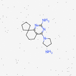 Nc1nc(N2CC[C@H](N)C2)c2c(n1)C1(CCCC1)CCC2